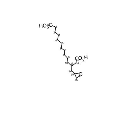 O=C(O)CCCCCCCCCCC(CC(=O)O)CC1CO1